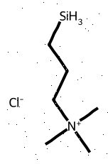 C[N+](C)(C)CCC[SiH3].[Cl-]